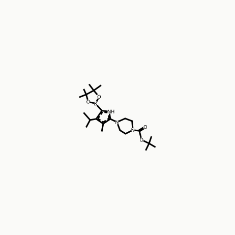 Cc1c(N2CCN(C(=O)OC(C)(C)C)CC2)[nH]c(B2OC(C)(C)C(C)(C)O2)c1C(C)C